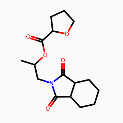 CC(CN1C(=O)C2CCCCC2C1=O)OC(=O)C1CCCO1